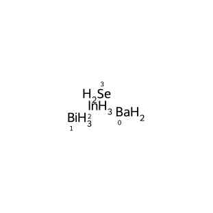 [BaH2].[BiH3].[InH3].[SeH2]